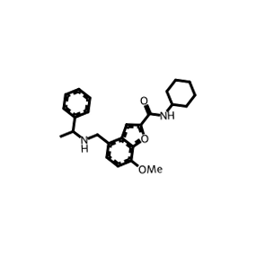 COc1ccc(CNC(C)c2ccccc2)c2cc(C(=O)NC3CCCCC3)oc12